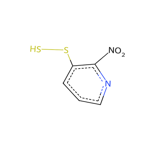 O=[N+]([O-])c1ncccc1SS